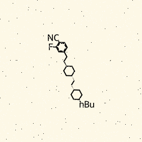 CCCC[C@H]1CC[C@H](CC[C@H]2CC[C@H](CCc3ccc(C#N)c(F)c3)CC2)CC1